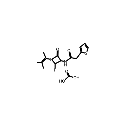 CC(C)=C(C)N1C(=O)C(NC(=O)Cc2cccs2)C1F.O=C(O)O